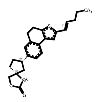 CCC/C=C/c1cc2c(s1)CCc1cc([C@H]3CC[C@]4(COC(=O)N4)C3)ccc1-2